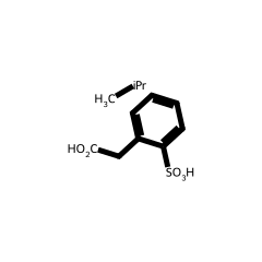 CC(C)C.O=C(O)Cc1ccccc1S(=O)(=O)O